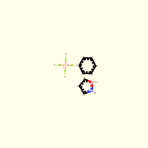 F[B-](F)(F)F.c1ccccc1.c1cnoc1